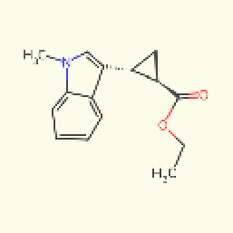 CCOC(=O)[C@@H]1C[C@H]1c1cn(C)c2ccccc12